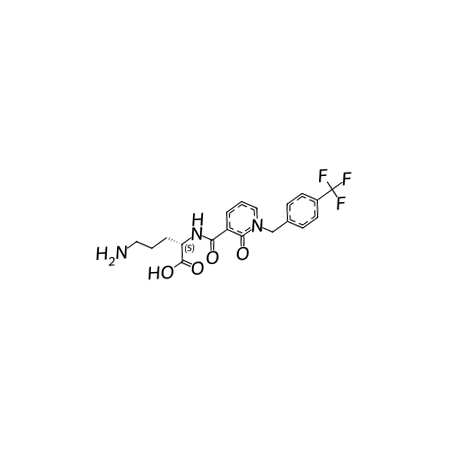 NCCC[C@H](NC(=O)c1cccn(Cc2ccc(C(F)(F)F)cc2)c1=O)C(=O)O